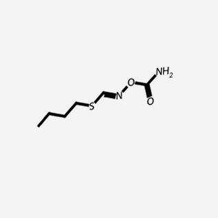 CCCCSC=NOC(N)=O